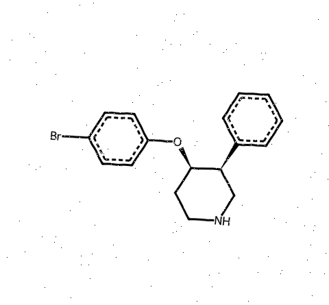 Brc1ccc(O[C@@H]2CCNC[C@@H]2c2ccccc2)cc1